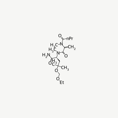 C=C(C(=O)N(C)[C@@H](CC(C)(C)OCOCC)C(N)=O)N(C)C(=O)CCC